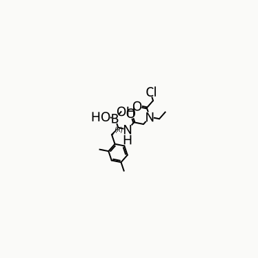 CCN(CC(=O)N[C@@H](Cc1ccc(C)cc1C)B(O)O)C(=O)CCl